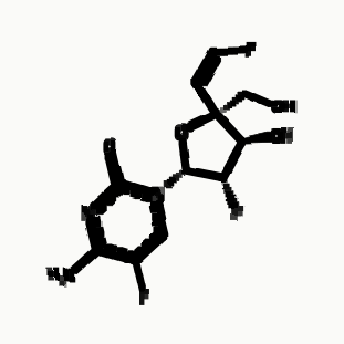 Nc1nc(=O)n([C@@H]2O[C@](/C=C\F)(CO)[C@@H](O)[C@@H]2F)cc1F